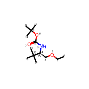 CCOC[C@H](NC(=O)OC(C)(C)C)C(C)(C)C